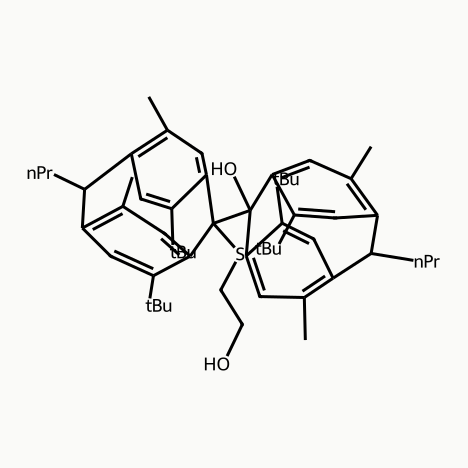 CCCC1c2cc(C(C)(C)C)c(cc2C)C(O)(C2(SCCO)c3cc(C)c(cc3C(C)(C)C)C(CCC)c3cc(C(C)(C)C)c2cc3C)c2cc(C)c1cc2C(C)(C)C